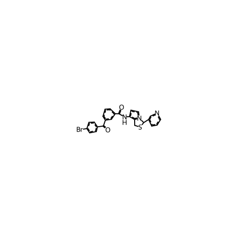 O=C(Nc1ccn2c1CSC2c1cccnc1)c1cccc(C(=O)c2ccc(Br)cc2)c1